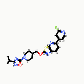 CC(C)c1noc(N2CCC(COc3nc4ccc(-c5ccnc(F)c5)nc4s3)CC2)n1